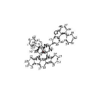 c1ccc(-c2cccc(-n3c4ccccc4c4ccc5c6ccccc6n(-c6nc(-c7ccccc7)nc(-c7ccc8c(c7)oc7cccc(-c9ccccc9)c78)n6)c5c43)c2)cc1